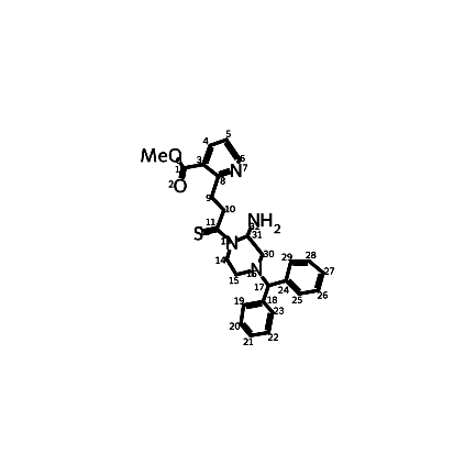 COC(=O)c1cccnc1CCC(=S)N1CCN(C(c2ccccc2)c2ccccc2)CC1N